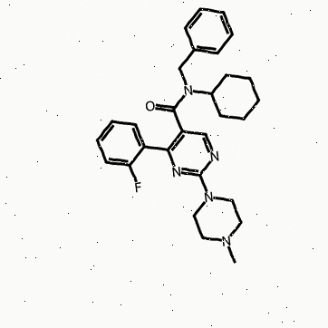 CN1CCN(c2ncc(C(=O)N(Cc3ccccc3)C3CCCCC3)c(-c3ccccc3F)n2)CC1